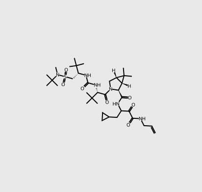 C=CCNC(=O)C(=O)C(CC1CC1)NC(=O)[C@@H]1[C@@H]2[C@H](CN1C(=O)[C@@H](NC(=O)N[C@H](CS(=O)(=O)N(C)C(C)(C)C)C(C)(C)C)C(C)(C)C)C2(C)C